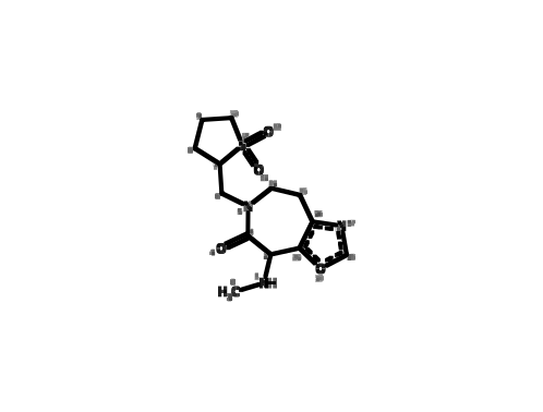 CNC1C(=O)N(CC2CCCS2(=O)=O)CCc2ncoc21